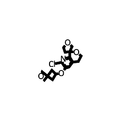 Clc1nc2c(cc1OC1CC3(COC3)C1)CCOC21CCOC1